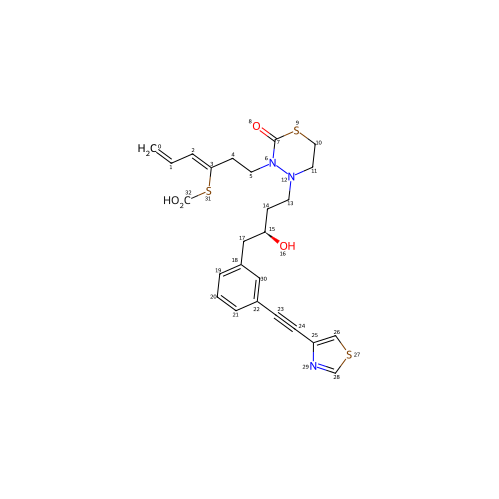 C=C/C=C(/CCN1C(=O)SCCN1CC[C@@H](O)Cc1cccc(C#Cc2cscn2)c1)SC(=O)O